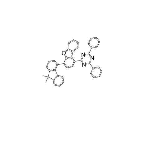 CC1(C)c2ccccc2-c2c(-c3ccc(-c4nc(-c5ccccc5)nc(-c5ccccc5)n4)c4c3oc3ccccc34)cccc21